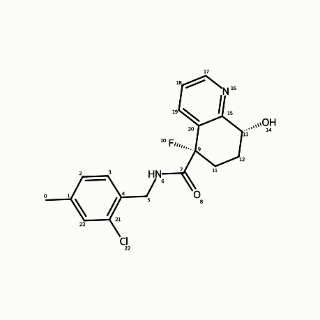 Cc1ccc(CNC(=O)[C@]2(F)CC[C@@H](O)c3ncccc32)c(Cl)c1